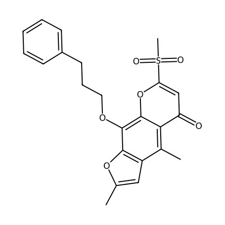 Cc1cc2c(C)c3c(=O)cc(S(C)(=O)=O)oc3c(OCCCc3ccccc3)c2o1